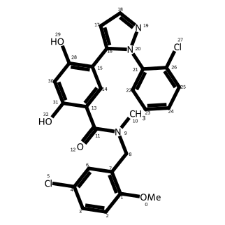 COc1ccc(Cl)cc1CN(C)C(=O)c1cc(-c2ccnn2-c2ccccc2Cl)c(O)cc1O